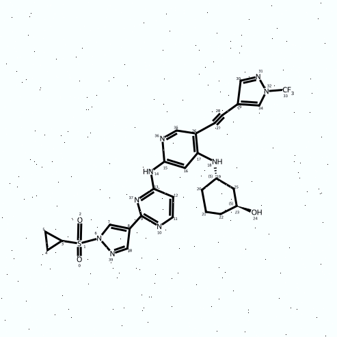 O=S(=O)(C1CC1)n1cc(-c2nccc(Nc3cc(N[C@H]4CCC[C@H](O)C4)c(C#Cc4cnn(C(F)(F)F)c4)cn3)n2)cn1